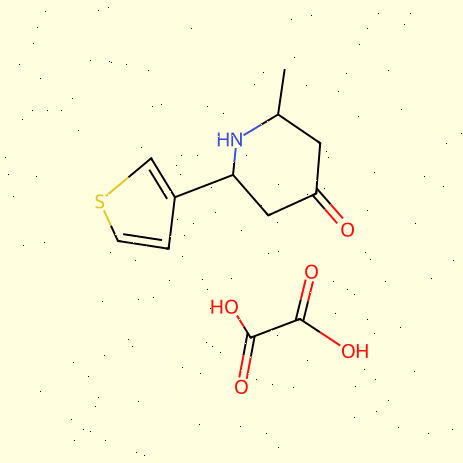 CC1CC(=O)CC(c2ccsc2)N1.O=C(O)C(=O)O